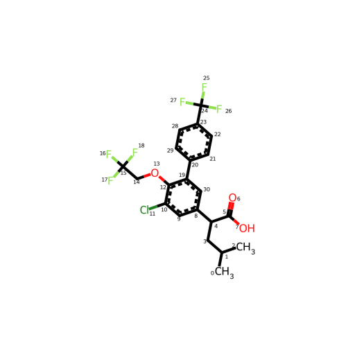 CC(C)CC(C(=O)O)c1cc(Cl)c(OCC(F)(F)F)c(-c2ccc(C(F)(F)F)cc2)c1